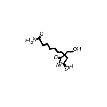 NC(=O)CCCCCCC(CCO)(CCO)C(N)=O